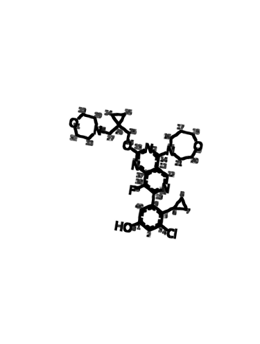 Oc1cc(Cl)c(C2CC2)c(-c2ncc3c(N4CCCOCC4)nc(OCC4(CN5CCOCC5)CC4)nc3c2F)c1